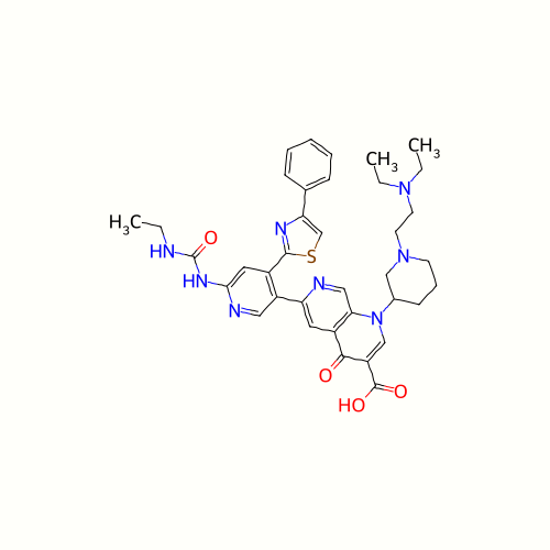 CCNC(=O)Nc1cc(-c2nc(-c3ccccc3)cs2)c(-c2cc3c(=O)c(C(=O)O)cn(C4CCCN(CCN(CC)CC)C4)c3cn2)cn1